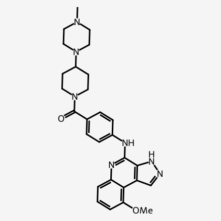 COc1cccc2nc(Nc3ccc(C(=O)N4CCC(N5CCN(C)CC5)CC4)cc3)c3[nH]ncc3c12